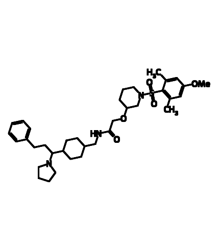 COc1cc(C)c(S(=O)(=O)N2CCCC(OCC(=O)NCC3CCC(C(CCc4ccccc4)N4CCCC4)CC3)C2)c(C)c1